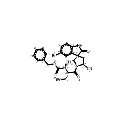 CC(C)C[C@@H](C(=O)N1C[C@]2(C[C@H]1C#N)C(=O)Nc1ccc(Br)cc12)N(C)C(=O)OCc1ccccc1